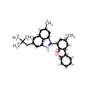 Cc1cc2c3c(cc(CC(C)(C)C)cc3c1)N=C2c1cc(C)cc2c1oc1ccccc12